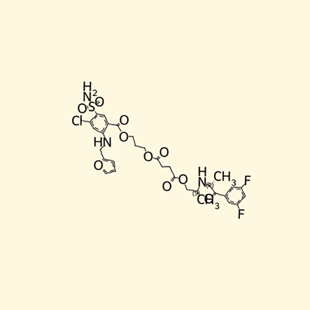 C[C@@H](COC(=O)CCC(=O)OCCCOC(=O)c1cc(S(N)(=O)=O)c(Cl)cc1NCc1ccco1)N[C@H](C)C(=O)c1cc(F)cc(F)c1